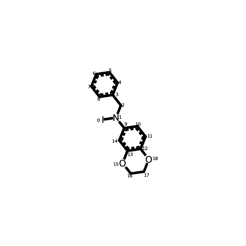 IN(Cc1ccccc1)c1ccc2c(c1)OCCO2